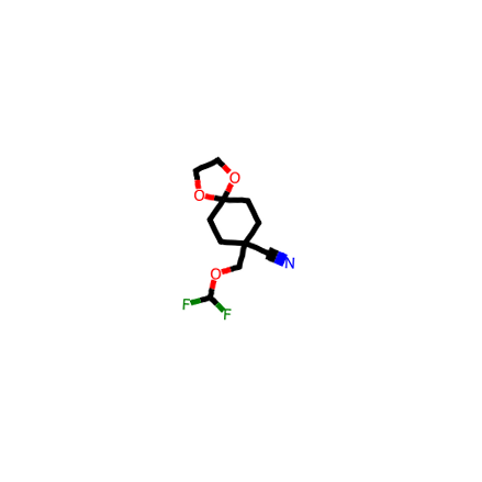 N#CC1(COC(F)F)CCC2(CC1)OCCO2